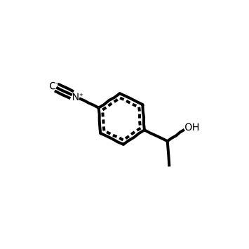 [C-]#[N+]c1ccc(C(C)O)cc1